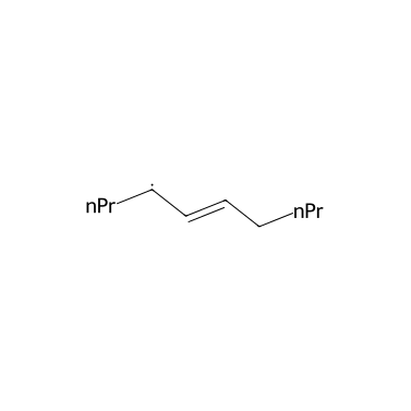 [CH2]CCCC=C[CH]CCC